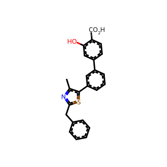 Cc1nc(Cc2ccccc2)sc1-c1cccc(-c2ccc(C(=O)O)c(O)c2)c1